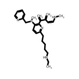 C=C(/C=C\NC)C(=C)c1nc(CCCCCNCC)ccc1N(C)Cc1ccccn1